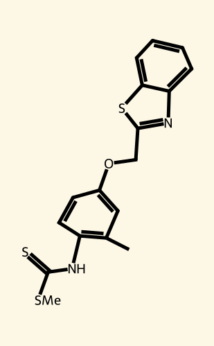 CSC(=S)Nc1ccc(OCc2nc3ccccc3s2)cc1C